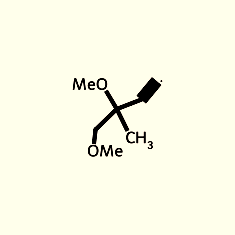 [C]#CC(C)(COC)OC